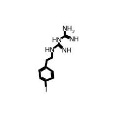 N=C(N)NC(=N)NCCc1ccc(I)cc1